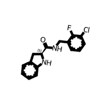 O=C(NCc1cccc(Cl)c1F)[C@@H]1Cc2ccccc2N1